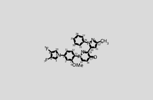 COc1cc(-n2cc(F)c(F)c2)ccc1-n1ccc(=O)c(-c2cc(C)nn2-c2ccccc2)n1